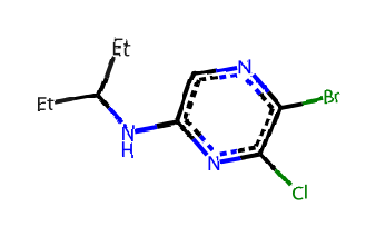 CCC(CC)Nc1cnc(Br)c(Cl)n1